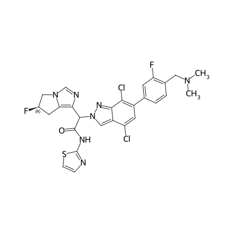 CN(C)Cc1ccc(-c2cc(Cl)c3cn(C(C(=O)Nc4nccs4)c4ncn5c4C[C@@H](F)C5)nc3c2Cl)cc1F